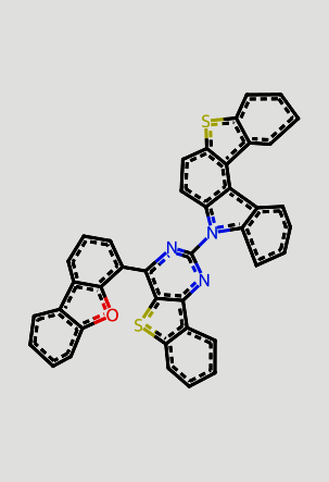 c1ccc2c(c1)oc1c(-c3nc(-n4c5ccccc5c5c6c(ccc54)sc4ccccc46)nc4c3sc3ccccc34)cccc12